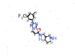 Cc1cc(-c2ncn(/C=C\C(=O)NCC3CCCNC3)n2)cc(C(F)(F)F)c1